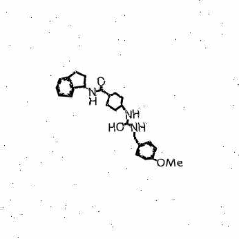 COc1ccc(CNC(O)NC2CCC(C(=O)N[C@H]3CCc4ccccc43)CC2)cc1